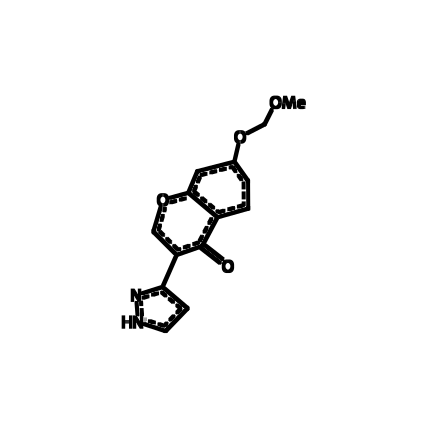 COCOc1ccc2c(=O)c(-c3cc[nH]n3)coc2c1